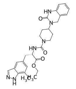 CCOC(=O)[C@H](Cc1cc(C)c2[nH]ncc2c1)NC(=O)N1CCC(N2Cc3ccccc3NC2=O)CC1